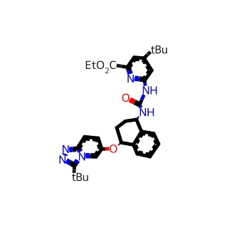 CCOC(=O)c1cc(C(C)(C)C)cc(NC(=O)N[C@H]2CC[C@@H](Oc3ccc4nnc(C(C)(C)C)n4c3)c3ccccc32)n1